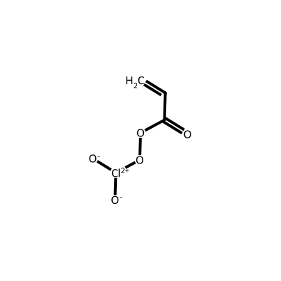 C=CC(=O)OO[Cl+2]([O-])[O-]